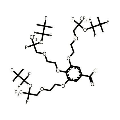 CC(C)(F)C(F)(F)OC(F)(COCCOc1cc(C(=O)Cl)cc(OCCOCC(F)(OC(F)(F)C(C)(C)F)C(F)(F)F)c1OCCOCC(F)(OC(F)(F)C(C)(C)F)C(F)(F)F)C(F)(F)F